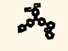 N#Cc1ccc(N(c2ccc(-c3ccncc3)cc2)c2ccc(-c3cccc4c3oc3ccccc34)cc2)cc1C#N